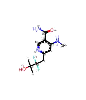 CC(C)Nc1cc(CC(F)(F)C(C)(C)O)ncc1C(N)=O